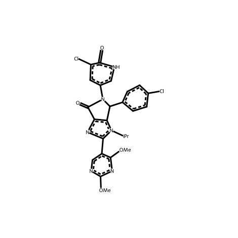 COc1ncc(-c2nc3c(n2C(C)C)C(c2ccc(Cl)cc2)N(c2c[nH]c(=O)c(Cl)c2)C3=O)c(OC)n1